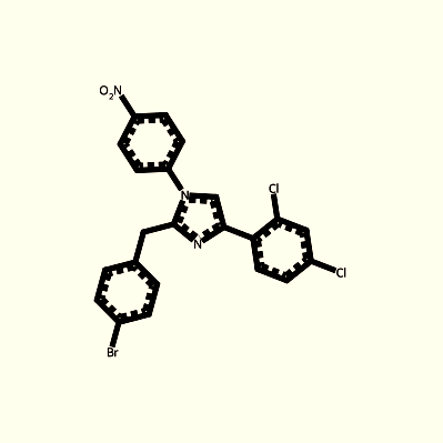 O=[N+]([O-])c1ccc(-n2cc(-c3ccc(Cl)cc3Cl)nc2Cc2ccc(Br)cc2)cc1